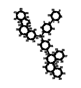 c1ccc(-c2ccc(N(c3ccc(-c4cc5ccc6ccccc6c5c5ccccc45)cc3)c3ccc4ccc5c6ccccc6sc5c4c3)cc2)cc1